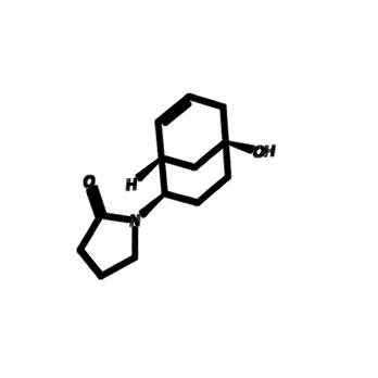 O=C1CCCN1[C@@H]1CC[C@@]2(O)CC=C[C@@H]1C2